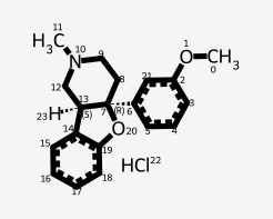 COc1cccc([C@@]23CCN(C)C[C@@H]2c2ccccc2O3)c1.Cl